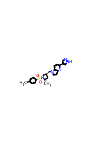 Cc1ccc(S(=O)(=O)N2C[C@@H](Cn3ccc4nc(-c5cn[nH]c5)ccc43)C[C@H]2C)cc1